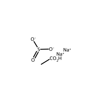 CC(=O)O.O=S([O-])[O-].[Na+].[Na+]